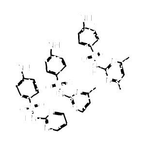 Cc1cc(C)nc(NS(=O)(=O)c2ccc(N)cc2)n1.Cc1ccnc(NS(=O)(=O)c2ccc(N)cc2)n1.Nc1ccc(S(=O)(=O)Nc2ncccn2)cc1